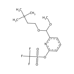 COC(OCC[Si](C)(C)C)c1cccc(OS(=O)(=O)C(F)(F)F)n1